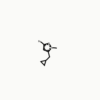 Cn1nc(Br)cc1CC1CC1